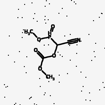 COC(=O)OC(C#N)[PH](=O)OC